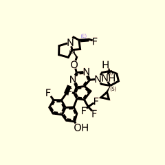 C#Cc1c(F)ccc2cc(O)cc(-c3c(C(F)(F)F)cc4c(N5C[C@@H]6CC[C@](C7CC7)(C5)N6)nc(OC[C@@]56CCCN5C/C(=C/F)C6)nc4c3F)c12